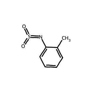 Cc1ccccc1N=S(=O)=O